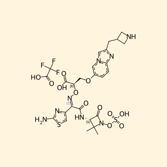 CC1(C)[C@H](NC(=O)/C(=N\O[C@H](COc2ccc3nc(CC4CNC4)cn3c2)C(=O)O)c2csc(N)n2)C(=O)N1OS(=O)(=O)O.O=C(O)C(F)(F)F